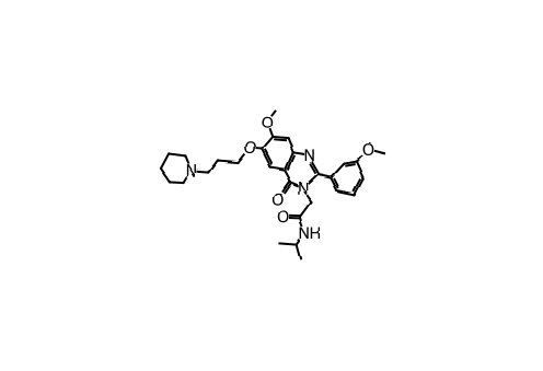 COc1cccc(-c2nc3cc(OC)c(OCCCN4CCCCC4)cc3c(=O)n2CC(=O)NC(C)C)c1